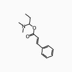 CCC(OC(=O)C=Cc1ccccc1)N(C)C